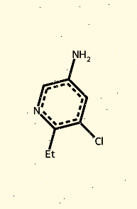 CCc1ncc(N)cc1Cl